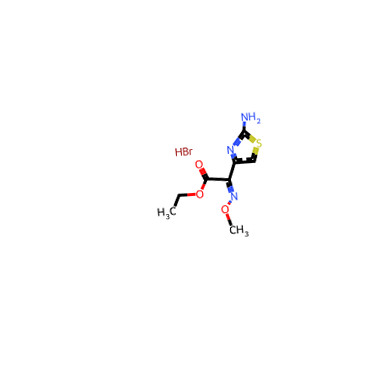 Br.CCOC(=O)C(=NOC)c1csc(N)n1